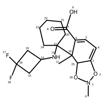 CN1OC2=CC=C(C(=O)O)C(C)(C3(NC4CC(F)(F)C4)CCCCC3)C2O1